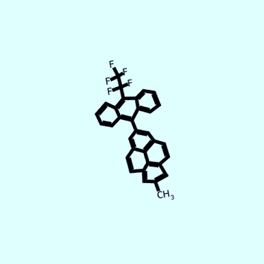 Cc1cc2ccc3cc(-c4c5ccccc5c(C(F)(F)C(F)(F)F)c5ccccc45)cc4ccc(c1)c2c34